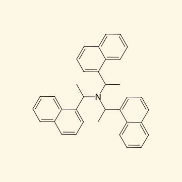 CC(c1cccc2ccccc12)N(C(C)c1cccc2ccccc12)C(C)c1cccc2ccccc12